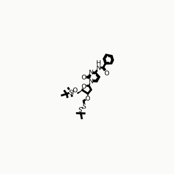 CC(C)(C)SSCO[C@@H]1C[C@H](n2ccc(NC(=O)c3ccccc3)nc2=O)O[C@@H]1CO[Si](C)(C)C(C)(C)C